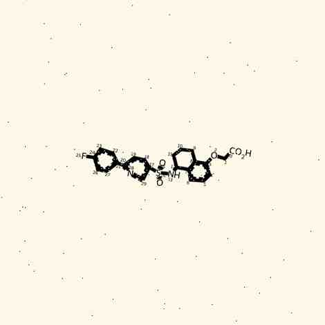 O=C(O)COc1cccc2c1CCCC2NS(=O)(=O)c1ccc(-c2ccc(F)cc2)nc1